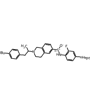 CCCCCCCc1ccc(N[S@+]([O-])c2ccc3c(c2)CCN(C(C)Cc2ccc(C(C)(C)C)cc2)C3)c(F)c1